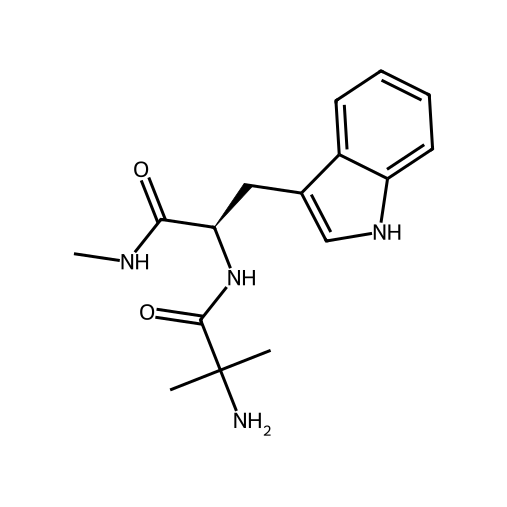 CNC(=O)[C@@H](Cc1c[nH]c2ccccc12)NC(=O)C(C)(C)N